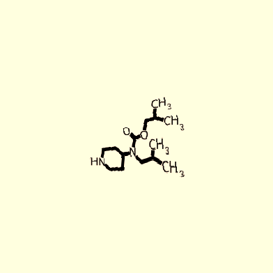 CC(C)COC(=O)N(CC(C)C)C1CCNCC1